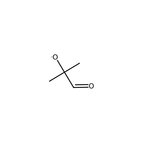 CC(C)([O])C=O